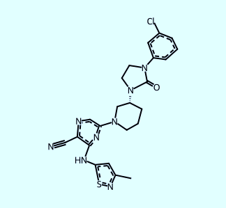 Cc1cc(Nc2nc(N3CCC[C@@H](N4CCN(c5cccc(Cl)c5)C4=O)C3)cnc2C#N)sn1